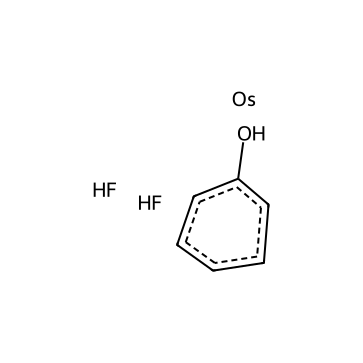 F.F.Oc1ccccc1.[Os]